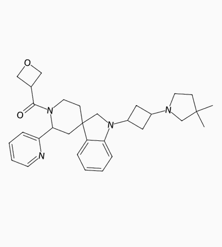 CC1(C)CCN(C2CC(N3CC4(CCN(C(=O)C5COC5)C(c5ccccn5)C4)c4ccccc43)C2)C1